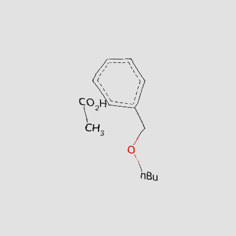 CC(=O)O.CCCCOCc1ccccc1